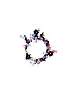 C[C@@H]1NC(=O)[C@@H]2CCCN2C(=O)[C@H](Cc2cccs2)NC(=O)[C@H](Cc2c[nH]c3ccc(F)cc23)NC(=O)CNC(=O)[C@H](CCCCN)NC(=O)CCSCc2cccc(c2)CSC[C@@H](C(N)=O)NC(=O)[C@@H]2CCCN2C(=O)[C@H](Cc2ccc(O)cc2)NC1=O